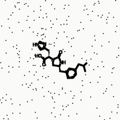 CC(C)Cc1cccc(C[C@H]2CN([C@@H](Cc3c[nH]cn3)C(=O)O)C(=O)N2)c1